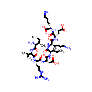 CC[C@H](C)[C@H](N)C(=O)N[C@H](C(=O)N[C@@H](CCCNC(=N)N)C(=O)N[C@@H](CC(=O)O)C(=O)N[C@H](C(=O)N[C@@H](CCCCN)C(=O)N[C@@H](CCC(=O)O)C(=O)N[C@@H](CCCCN)C(=O)O)[C@@H](C)CC)C(C)C